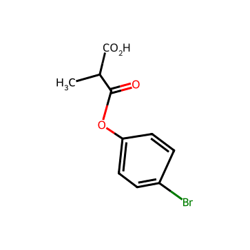 CC(C(=O)O)C(=O)Oc1ccc(Br)cc1